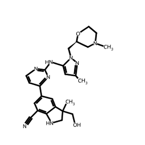 Cc1cc(Nc2nccc(-c3cc(C#N)c4c(c3)C(C)(CO)CN4)n2)n(C[C@@H]2CN(C)CCO2)n1